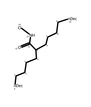 CCCCCCCCCCCCCCC(CCCCCCCCCCCCCC)C(=O)NCl